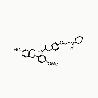 COc1ccc(C2CCc3cc(O)ccc3C2)c(NC(C)Cc2ccc(OCCNC3CCCCC3)cc2)c1